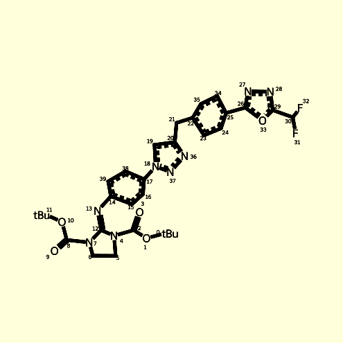 CC(C)(C)OC(=O)N1CCN(C(=O)OC(C)(C)C)C1=Nc1ccc(-n2cc(Cc3ccc(-c4nnc(C(F)F)o4)cc3)nn2)cc1